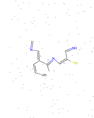 C=N/C=C(\C=C/CCC)C(/C)=N/C=C(/S)C=N